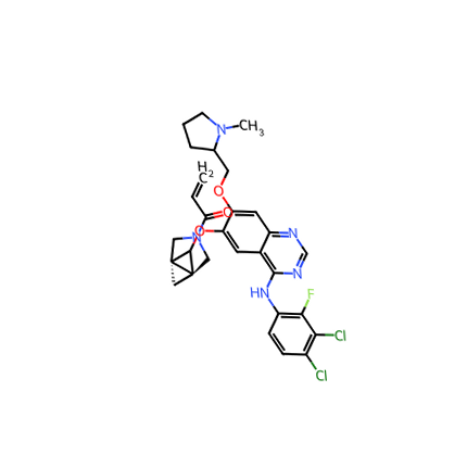 C=CC(=O)N1C[C@@]23C[C@]2(C1)C3Oc1cc2c(Nc3ccc(Cl)c(Cl)c3F)ncnc2cc1OCC1CCCN1C